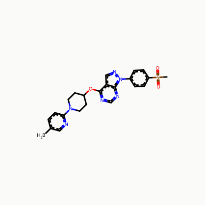 Bc1ccc(N2CCC(Oc3ncnc4c3cnn4-c3ccc(S(C)(=O)=O)cc3)CC2)nc1